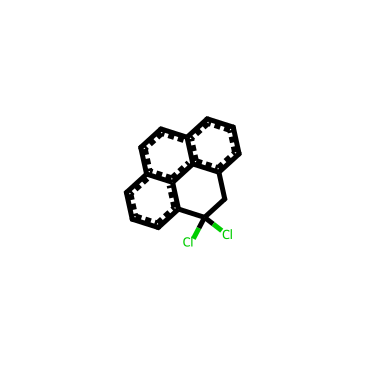 ClC1(Cl)Cc2cccc3ccc4cccc1c4c23